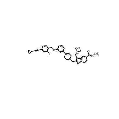 COC(=O)c1ccc2nc(CN3CC=C(c4cccc(OCc5ccc(C#CC6CC6)cc5F)n4)CC3)n(C[C@@H]3CCO3)c2c1